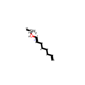 C=CCCCC/C=C/O[SiH2]C